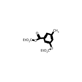 CCOC(=O)OC(=O)c1cc(C)cc(OC(=O)OCC)c1